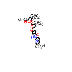 COC(=O)C1CC(OC(C)=O)C(OC(C)=O)C(OCC2OC(Oc3ccc(C(=O)NC4=CN5C=C(C(=O)O)C=C=C5C=C4)cc3)CC(OC(C)=O)C2OC(C)=O)O1